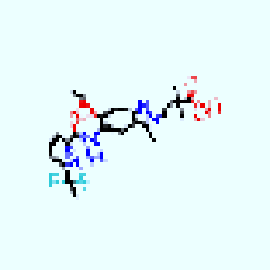 CCOc1cc2nn(CCC(C)(C)C(=O)O)c(C)c2cc1NC(=O)c1cccc(C(C)(F)F)n1